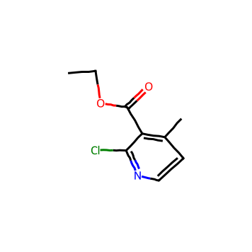 CCOC(=O)c1c(C)ccnc1Cl